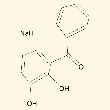 O=C(c1ccccc1)c1cccc(O)c1O.[NaH]